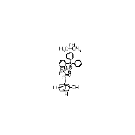 CC(C)(C)c1ccc(S(OS(=O)(=O)C(F)(F)C(=O)OCC23C[C@@H]4C[C@@H](CC(O)(C4)C2)C3)(c2ccccc2)c2ccccc2)cc1